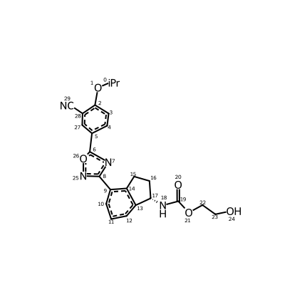 CC(C)Oc1ccc(-c2nc(-c3cccc4c3CC[C@@H]4NC(=O)OCCO)no2)cc1C#N